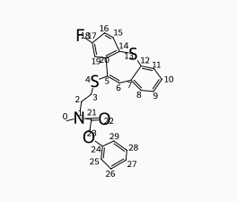 CN(CCSC1=Cc2ccccc2Sc2ccc(F)cc21)C(=O)Oc1ccccc1